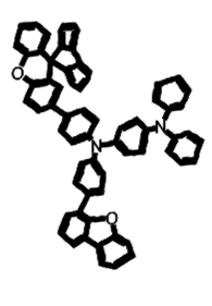 c1ccc(N(c2ccccc2)c2ccc(N(c3ccc(-c4ccc5c(c4)C4(c6ccccc6O5)c5ccccc5-c5ccccc54)cc3)c3ccc(-c4cccc5c4oc4ccccc45)cc3)cc2)cc1